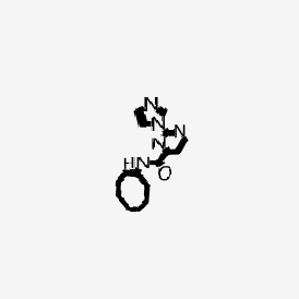 O=C(NC1CCCCCCC1)c1ccnc(-n2ccnc2)n1